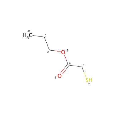 CCCOC(=O)CS